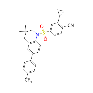 CC1(C)Cc2cc(-c3ccc(C(F)(F)F)cc3)ccc2N(S(=O)(=O)c2ccc(C#N)c(C3CC3)c2)C1